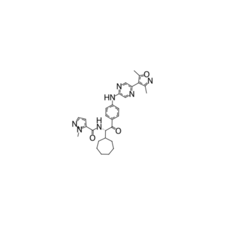 Cc1noc(C)c1-c1cnc(Nc2ccc(C(=O)[C@@H](NC(=O)c3ccnn3C)C3CCCCCC3)cc2)cn1